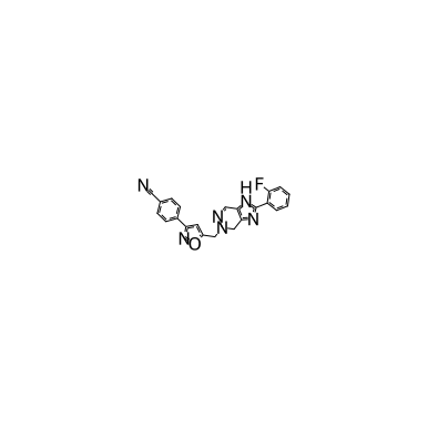 N#Cc1ccc(-c2cc(CN3Cc4nc(-c5ccccc5F)[nH]c4C=N3)on2)cc1